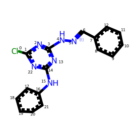 Clc1nc(N/N=C/c2ccccc2)nc(Nc2ccccc2)n1